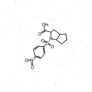 O=C(O)C1CC2CCCC2N1S(=O)(=O)c1ccc([N+](=O)[O-])cc1